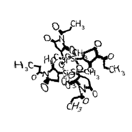 CCC(=O)C1C(=O)CC([Si]2(C)O[Si](C)(C3CC(=O)N(C(=O)CC)C3=O)O[Si](C)(C3CC(=O)N(C(=O)CC)C3=O)O[Si](C)(C3CC(=O)N(C(=O)CC)C3=O)O2)C1=O